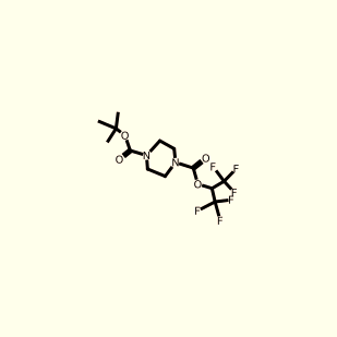 CC(C)(C)OC(=O)N1CCN(C(=O)OC(C(F)(F)F)C(F)(F)F)CC1